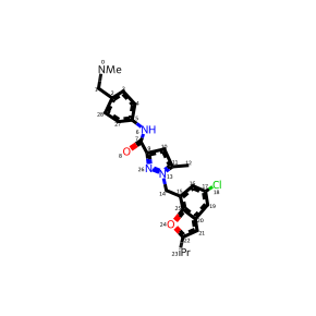 CNCc1ccc(NC(=O)c2cc(C)n(Cc3cc(Cl)cc4cc(C(C)C)oc34)n2)cc1